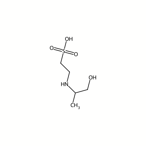 CC(CO)NCCS(=O)(=O)O